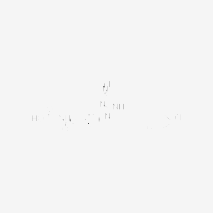 N#CN=C(N)N(CCCCCCOc1ccc(Cl)cc1)c1cc[n+](COC(=O)NCC(=O)O)cc1.[Cl-]